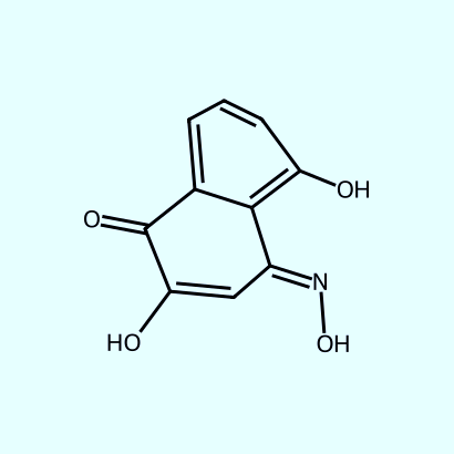 O=C1C(O)=CC(=NO)c2c(O)cccc21